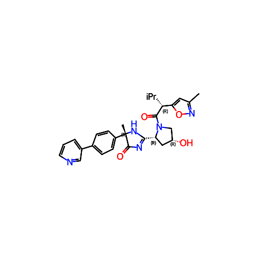 Cc1cc([C@H](C(=O)N2C[C@H](O)C[C@@H]2C2=NC(=O)[C@](C)(c3ccc(-c4cccnc4)cc3)N2)C(C)C)on1